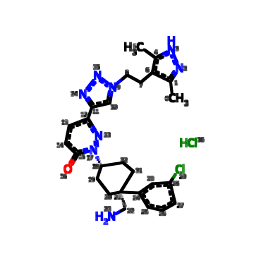 Cc1n[nH]c(C)c1CCn1cc(-c2ccc(=O)n([C@H]3CC[C@](CN)(c4cccc(Cl)c4)CC3)n2)nn1.Cl